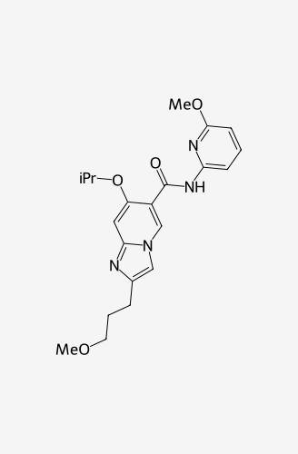 COCCCc1cn2cc(C(=O)Nc3cccc(OC)n3)c(OC(C)C)cc2n1